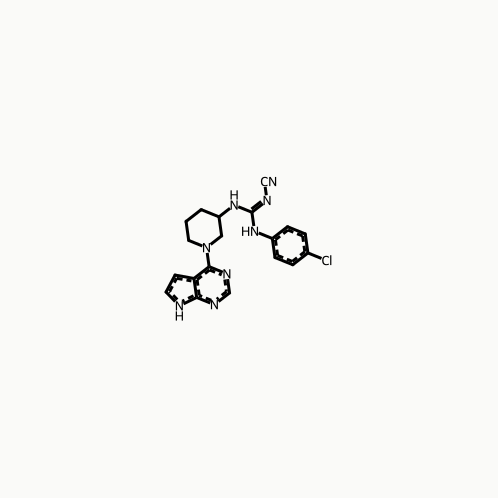 N#C/N=C(/Nc1ccc(Cl)cc1)NC1CCCN(c2ncnc3[nH]ccc23)C1